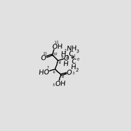 C=C.N.O=C(O)C(O)C(O)C(=O)O